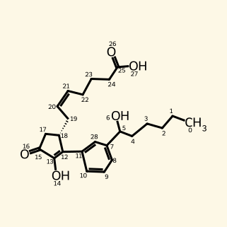 CCCCCC(O)c1cccc(C2=C(O)C(=O)C[C@@H]2C/C=C\CCCC(=O)O)c1